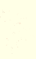 CC(=O)NC(Cn1c2c(c3cc(C)ccc31)CN(C)CC2)c1ccncc1